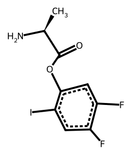 C[C@H](N)C(=O)Oc1cc(F)c(F)cc1I